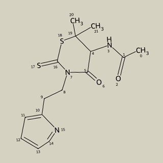 CC(=O)NC1C(=O)N(CCc2ccccn2)C(=S)SC1(C)C